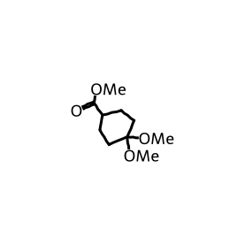 COC(=O)C1CCC(OC)(OC)CC1